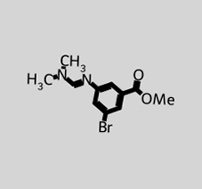 COC(=O)c1cc(Br)cc(/N=C/N(C)C)c1